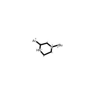 CC(=O)C1CN(C(C)(C)C)CCN1